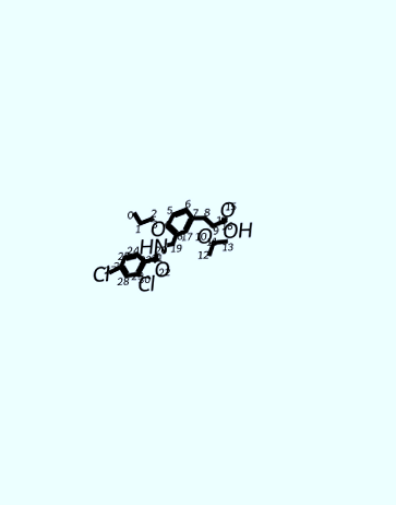 CCCOc1ccc(CC(OC(C)C)C(=O)O)cc1CNC(=O)c1ccc(Cl)cc1Cl